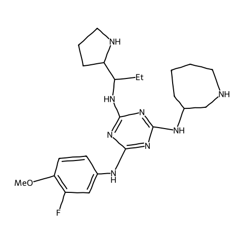 CCC(Nc1nc(Nc2ccc(OC)c(F)c2)nc(NC2CCCCNC2)n1)C1CCCN1